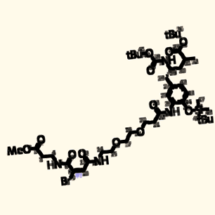 COC(=O)CCNC(=O)/C(Br)=C\C(=O)NCCOCCOCCC(=O)Nc1cc(C[C@@H](CC(C)C(=O)OC(C)(C)C)NC(=O)OC(C)(C)C)ccc1O[Si](C)(C)C(C)(C)C